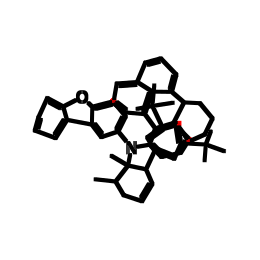 CC1CC=CC(c2cc(C(C)(C)C)cc(C(C)(C)C)c2)C1(C)N(c1ccc2oc3ccccc3c2c1)c1ccccc1-c1cccc2cccc(C3CCCCC3)c12